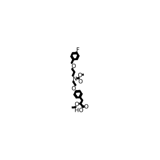 CCOC(Cc1ccc(OCCN(CCCOCc2ccc(F)cc2)C(=O)OC)cc1)C(=O)O